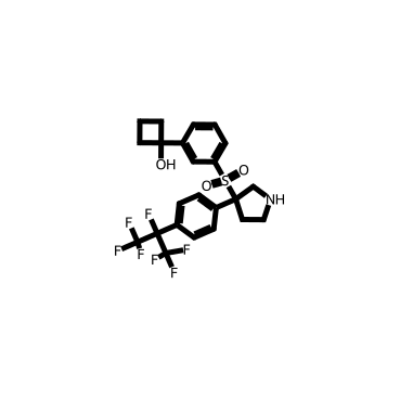 O=S(=O)(c1cccc(C2(O)CCC2)c1)C1(c2ccc(C(F)(C(F)(F)F)C(F)(F)F)cc2)CCNC1